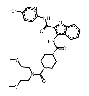 COCCN(CCOC)C(=O)[C@H]1CC[C@H](C(=O)Nc2c(C(=O)Nc3ccc(Cl)cn3)oc3ccccc23)CC1